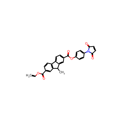 C=COC(=O)c1ccc2c(c1)C(C)c1cc(C(=O)Oc3ccc(N4C(=O)C=CC4=O)cc3)ccc1-2